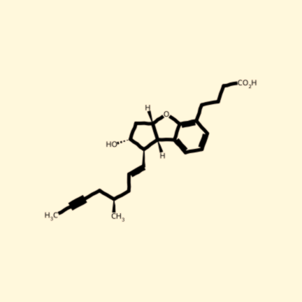 CC#CC[C@H](C)C/C=C/[C@@H]1[C@H]2c3cccc(CCCC(=O)O)c3O[C@H]2C[C@H]1O